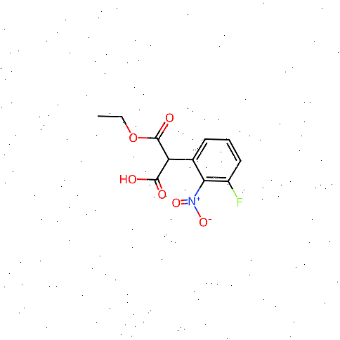 CCOC(=O)C(C(=O)O)c1cccc(F)c1[N+](=O)[O-]